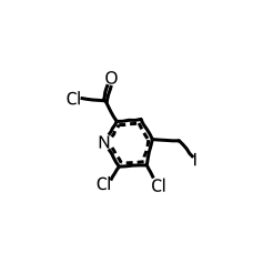 O=C(Cl)c1cc(CI)c(Cl)c(Cl)n1